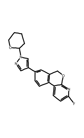 Fc1ccc2c(n1)OCc1cc(-c3cnn(C4CCCCO4)c3)ccc1-2